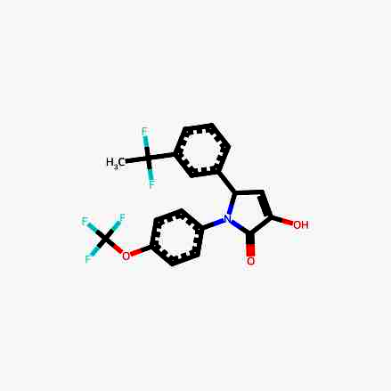 CC(F)(F)c1cccc(C2C=C(O)C(=O)N2c2ccc(OC(F)(F)F)cc2)c1